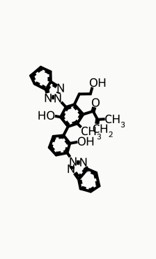 C=C(C)C(=O)c1c(C)c(-c2cccc(-n3nc4ccccc4n3)c2O)c(O)c(-n2nc3ccccc3n2)c1CCO